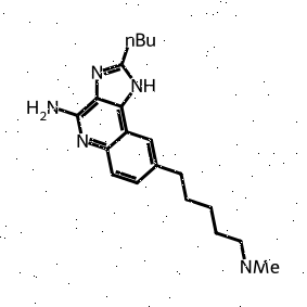 CCCCc1nc2c(N)nc3ccc(CCCCCNC)cc3c2[nH]1